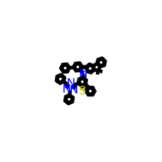 CC1(C)c2ccccc2-c2cc3c4ccc(-c5ccccc5)cc4n(-c4cc(-c5nc(-c6ccccc6)nc(-c6ccccc6)n5)c5sc6ccccc6c5c4)c3cc21